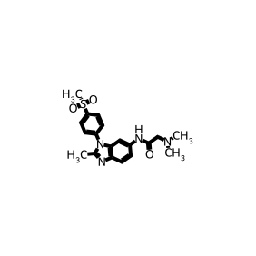 Cc1nc2ccc(NC(=O)CN(C)C)cc2n1-c1ccc(S(C)(=O)=O)cc1